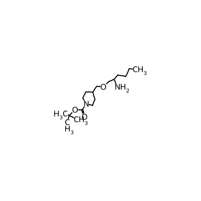 CCCCC(N)COCC1CCN(C(=O)OC(C)(C)C)CC1